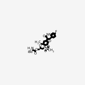 CC[C@H](C)[C@H](N)C(=O)OC[C@@H]1CN(S(C)(=O)=O)c2cc3oc(-c4ccc(F)cc4)c(C(=O)NC)c3cc2[C@H](C)O1